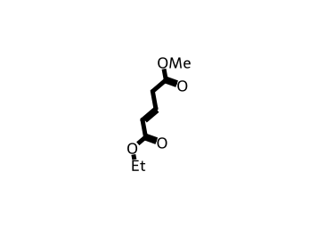 CCOC(=O)/C=C/CC(=O)OC